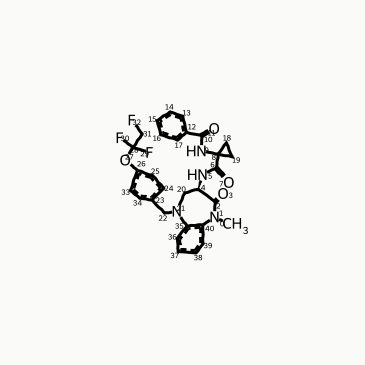 CN1C(=O)[C@H](NC(=O)C2(NC(=O)c3ccccc3)CC2)CN(Cc2ccc(OC(F)(F)CF)cc2)c2ccccc21